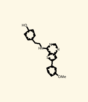 COc1cccc(-c2cc3ncnc(NCCc4ccc(O)cc4)c3s2)c1